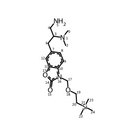 CN(C)C(CN)Cc1ccc2c(c1)oc(=O)n2COCC[Si](C)(C)C